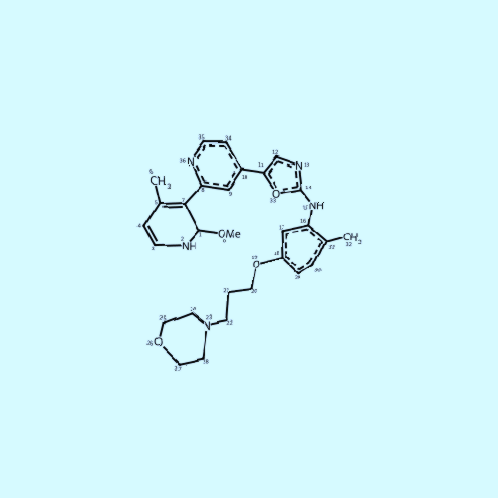 COC1NC=CC(C)=C1c1cc(-c2cnc(Nc3cc(OCCCN4CCOCC4)ccc3C)o2)ccn1